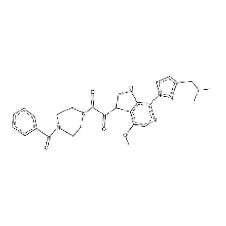 COc1cnc(-n2ccc(CC(C)C)n2)c2c1C(C(=O)C(=O)N1CCN(C(=O)c3ccccc3)CC1)CN2